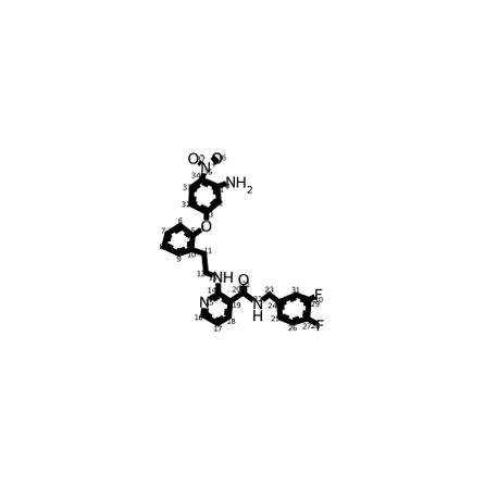 Nc1cc(Oc2ccccc2CCNc2ncccc2C(=O)NCc2ccc(F)c(F)c2)ccc1[N+](=O)[O-]